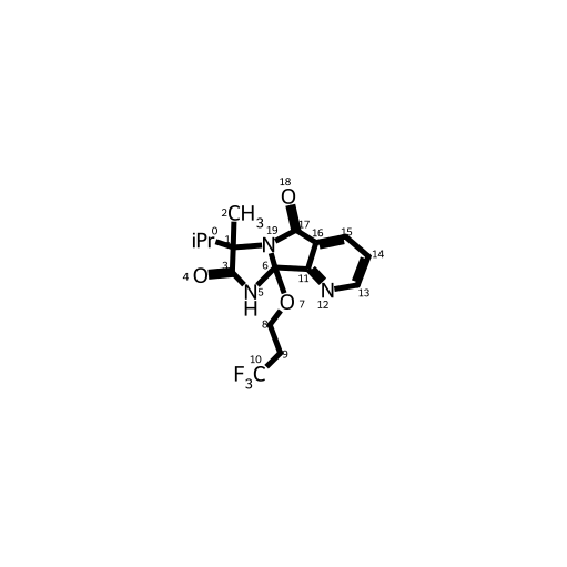 CC(C)C1(C)C(=O)NC2(OCCC(F)(F)F)c3ncccc3C(=O)N21